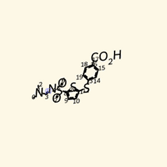 CN(C)/C=N/S(=O)(=O)c1ccc(Sc2ccc(C(=O)O)cc2)s1